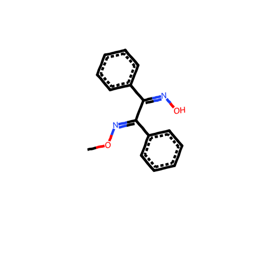 CON=C(C(=NO)c1ccccc1)c1ccccc1